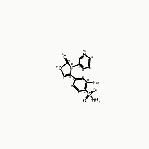 NS(=O)(=O)c1ccc(-c2coc(=O)n2-c2cccnc2)cc1F